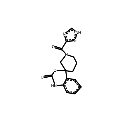 O=C1Nc2ccccc2C2(CCCN(C(=O)c3nc[nH]n3)C2)O1